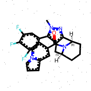 Cn1nc2c(c1-c1cc(F)c(F)c(F)c1)C[C@@H]1CCC[C@H]2N1C(=O)c1ccn2cccc2c1